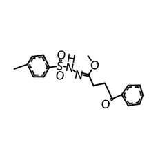 COC(CCC(=O)c1ccccc1)=NNS(=O)(=O)c1ccc(C)cc1